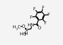 CO[SiH](O)CNC(=O)c1c(F)c(F)c(F)c(F)c1F